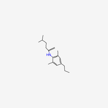 C=C(CCC(C)C)Nc1c(C)cc(CCC)cc1C